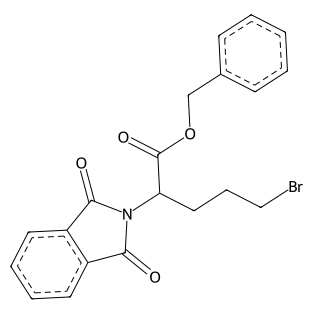 O=C(OCc1ccccc1)C(CCCBr)N1C(=O)c2ccccc2C1=O